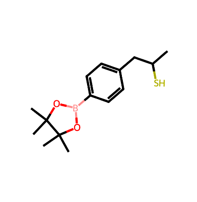 CC(S)Cc1ccc(B2OC(C)(C)C(C)(C)O2)cc1